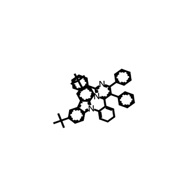 CC(C)(C)c1ccc2c(c1)c1cc(C(C)(C)C)ccc1n2C1=CCCC=C1c1nc(-c2ccccc2)nc(-c2ccccc2)c1-c1ccccc1